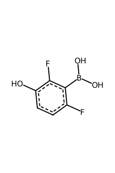 OB(O)c1c(F)ccc(O)c1F